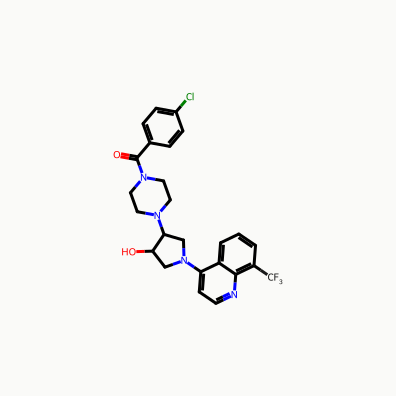 O=C(c1ccc(Cl)cc1)N1CCN(C2CN(c3ccnc4c(C(F)(F)F)cccc34)CC2O)CC1